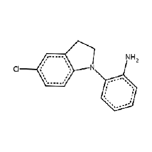 Nc1ccccc1N1CCc2cc(Cl)ccc21